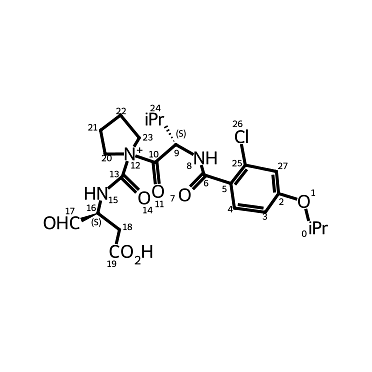 CC(C)Oc1ccc(C(=O)N[C@H](C(=O)[N+]2(C(=O)N[C@H](C=O)CC(=O)O)CCCC2)C(C)C)c(Cl)c1